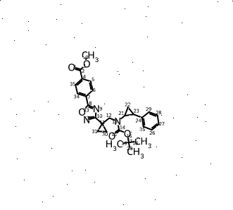 COC(=O)c1ccc(-c2nc(C3(CN(C(=O)OC(C)(C)C)C4CC4c4ccccc4)CC3)no2)cc1